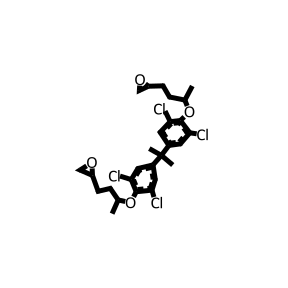 CC(CCC1CO1)Oc1c(Cl)cc(C(C)(C)c2cc(Cl)c(OC(C)CCC3CO3)c(Cl)c2)cc1Cl